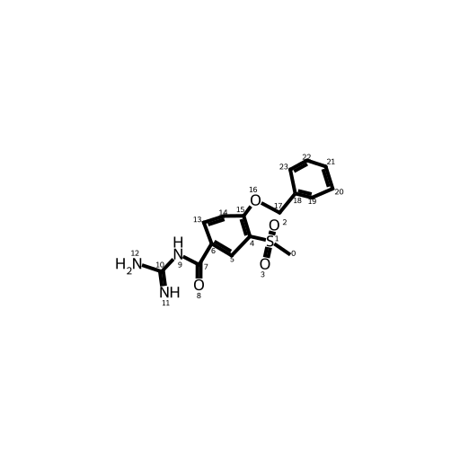 CS(=O)(=O)c1cc(C(=O)NC(=N)N)ccc1OCc1ccccc1